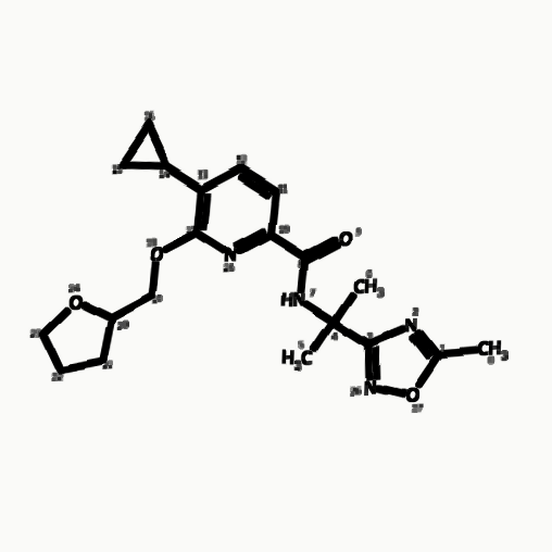 Cc1nc(C(C)(C)NC(=O)c2ccc(C3CC3)c(OCC3CCCO3)n2)no1